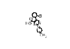 CN1CCN(c2ncc(-c3ccccc3Cl)c(C(=O)O)n2)CC1